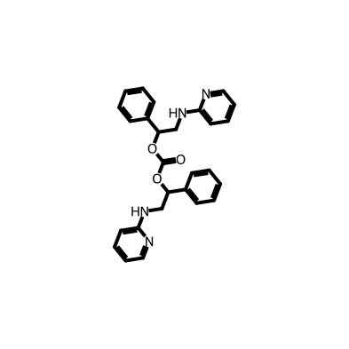 O=C(OC(CNc1ccccn1)c1ccccc1)OC(CNc1ccccn1)c1ccccc1